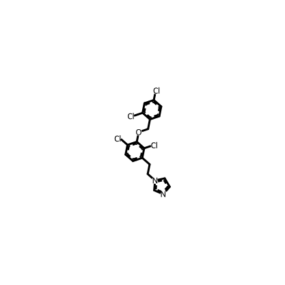 Clc1ccc(COc2c(Cl)ccc(CCn3ccnc3)c2Cl)c(Cl)c1